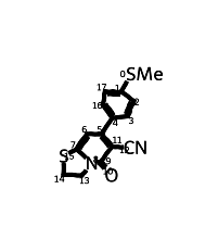 CSc1ccc(-c2cc3n(c(=O)c2C#N)CCS3)cc1